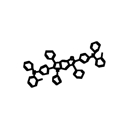 Cc1ccccc1N(c1ccccc1)c1ccc(-c2oc3cc4c(-c5ccccc5)c(-c5ccc(N(c6ccccc6)c6ccccc6C)cc5)n(-c5ccccc5)c4cc3c2-c2ccccc2)cc1